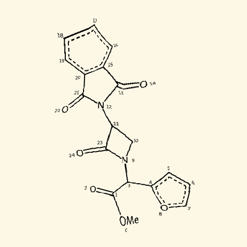 COC(=O)C(c1ccco1)N1CC(N2C(=O)c3ccccc3C2=O)C1=O